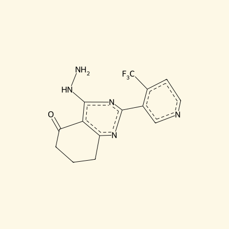 NNc1nc(-c2cnccc2C(F)(F)F)nc2c1C(=O)CCC2